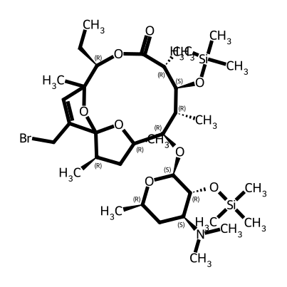 CC[C@H]1OC(=O)[C@H](C)[C@@H](O[Si](C)(C)C)[C@H](C)[C@@H](O[C@@H]2O[C@H](C)C[C@H](N(C)C)[C@H]2O[Si](C)(C)C)[C@@]2(C)C[C@@H](C)C3(OC1(C)C=C3CBr)O2